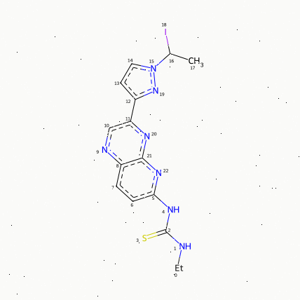 CCNC(=S)Nc1ccc2ncc(-c3ccn(C(C)I)n3)nc2n1